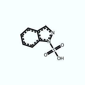 O=S(=O)(O)n1n[c]c2ccccc21